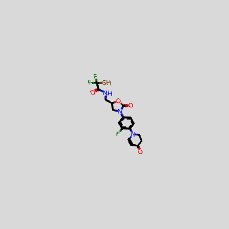 O=C1C=CN(c2ccc(N3CC(CNC(=O)C(F)(F)S)OC3=O)cc2F)CC1